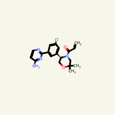 C=CC(=O)N1CC(C)(C)OC[C@H]1c1cc(Cl)cc(-c2nccc(N)n2)c1